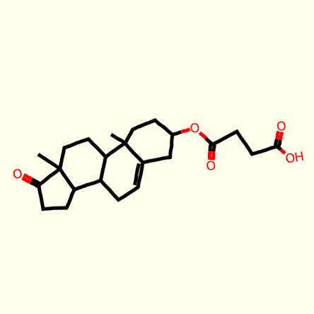 CC12CCC3C(CC=C4CC(OC(=O)CCC(=O)O)CCC43C)C1CCC2=O